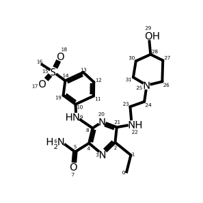 CCc1nc(C(N)=O)c(Nc2cccc(S(C)(=O)=O)c2)nc1NCCN1CCC(O)CC1